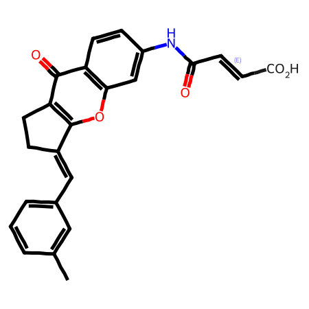 Cc1cccc(C=C2CCc3c2oc2cc(NC(=O)/C=C/C(=O)O)ccc2c3=O)c1